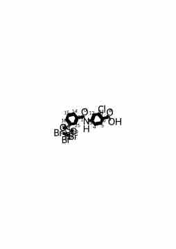 O=C(Nc1ccc(C(=O)O)c(Cl)c1)c1cccc(S(=O)(=O)C(Br)(Br)Br)c1